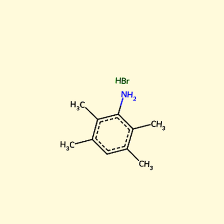 Br.Cc1cc(C)c(C)c(N)c1C